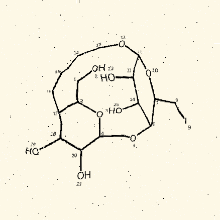 OCC1OC2OC3C(CI)OC(OCCCCC1C(O)C2O)C(O)C3O